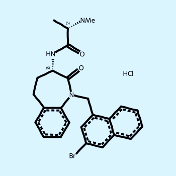 CN[C@@H](C)C(=O)N[C@H]1CCc2ccccc2N(Cc2cc(Br)cc3ccccc23)C1=O.Cl